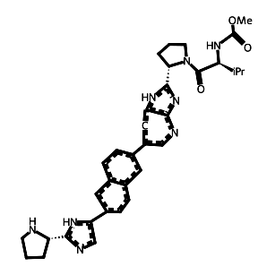 COC(=O)N[C@H](C(=O)N1CCC[C@H]1c1nc2ncc(-c3ccc4cc(-c5cnc([C@@H]6CCCN6)[nH]5)ccc4c3)cc2[nH]1)C(C)C